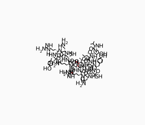 CC[C@H](C)[C@H](NC(=O)[C@@H]1C[C@@H](O)CN1C(=O)[C@@H](NC)C(C)C)C(=O)N[C@H](C(=O)N[C@@H](Cc1ccc(O)cc1)C(=O)N[C@H](C(=O)N[C@@H](CC(N)=O)C(=O)N[C@@H](CCCNC(=N)N)C(=O)N[C@@H](CCN)C(=O)N[C@H](C(=O)N[C@H](CCN)C(=O)N[C@@H](CCCCN)C(=O)N[C@@H](CS)C(=O)N[C@@H](CCN)C(=O)N[C@@H](CCCNC(=N)N)C(=O)N[C@@H](Cc1ccc(O)cc1)C(=O)O)[C@@H](C)O)C(C)(C)S)[C@@H](C)O